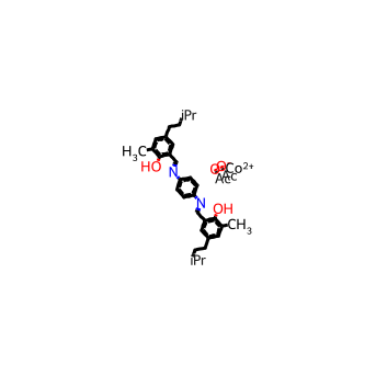 CC(=O)[O-].CC(=O)[O-].Cc1cc(CCC(C)C)cc(C=Nc2ccc(N=Cc3cc(CCC(C)C)cc(C)c3O)cc2)c1O.[Co+2]